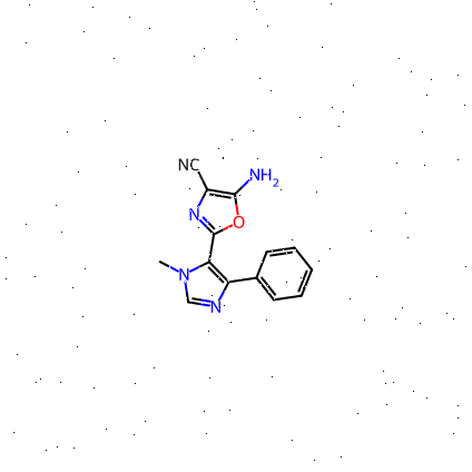 Cn1cnc(-c2ccccc2)c1-c1nc(C#N)c(N)o1